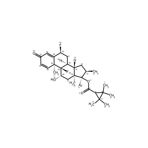 CC(=O)[C@@]1(OC(=O)C2C(C)(C)C2(C)C)[C@H](C)C[C@H]2[C@@H]3C[C@H](F)C4=CC(=O)C=C[C@]4(C)[C@@]3(F)[C@@H](O)C[C@@]21C